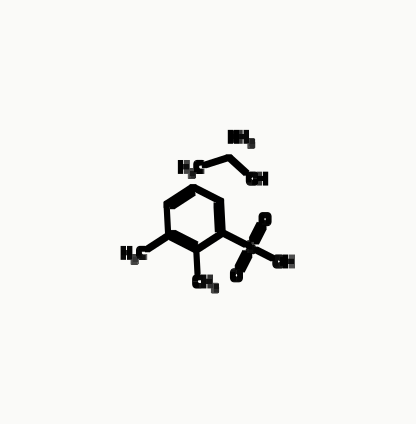 CCO.Cc1cccc(S(=O)(=O)O)c1C.N